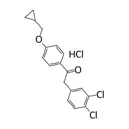 Cl.O=C(Cc1ccc(Cl)c(Cl)c1)c1ccc(OCC2CC2)cc1